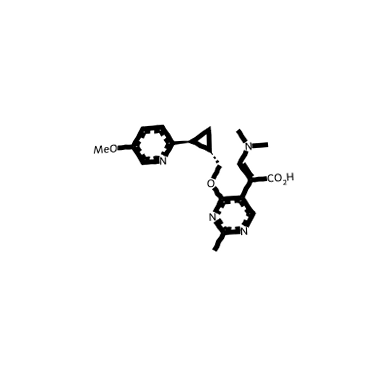 COc1ccc([C@H]2C[C@@H]2COc2nc(C)ncc2C(=CN(C)C)C(=O)O)nc1